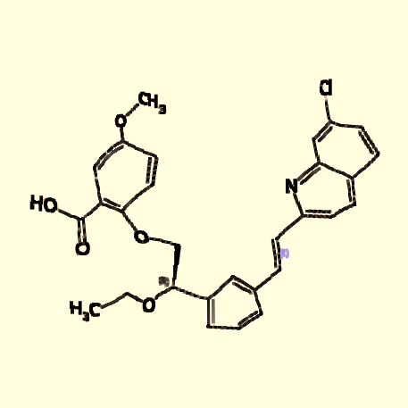 CCO[C@@H](COc1ccc(OC)cc1C(=O)O)c1cccc(/C=C/c2ccc3ccc(Cl)cc3n2)c1